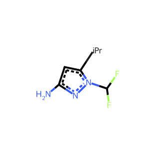 CC(C)c1cc(N)nn1C(F)F